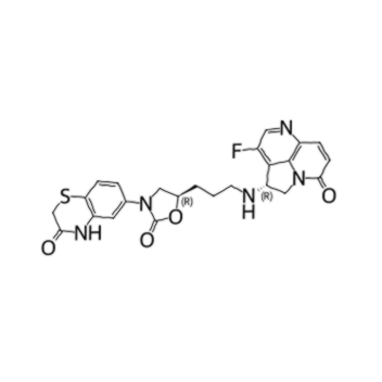 O=C1CSc2ccc(N3C[C@@H](CCCN[C@H]4Cn5c(=O)ccc6ncc(F)c4c65)OC3=O)cc2N1